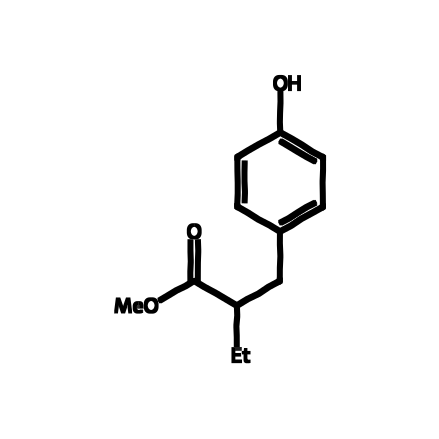 CCC(Cc1ccc(O)cc1)C(=O)OC